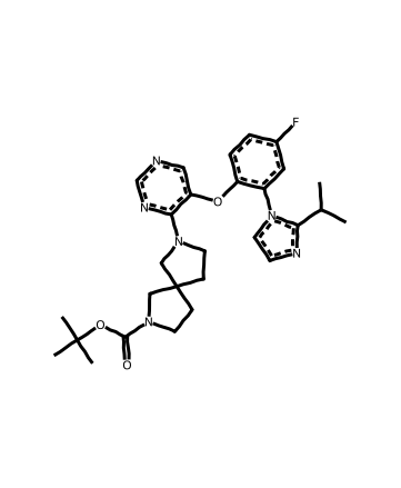 CC(C)c1nccn1-c1cc(F)ccc1Oc1cncnc1N1CCC2(CCN(C(=O)OC(C)(C)C)C2)C1